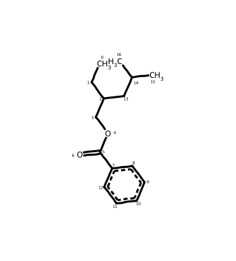 CCC(COC(=O)c1ccccc1)CC(C)C